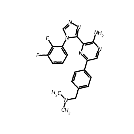 CN(C)Cc1ccc(-c2cnc(N)c(-c3nncn3-c3cccc(F)c3F)n2)cc1